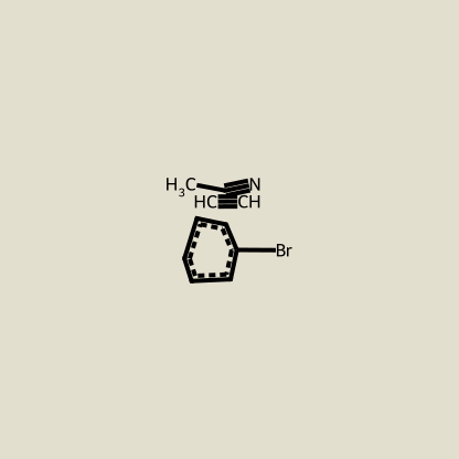 Brc1ccccc1.C#C.CC#N